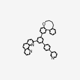 c1cncc(-c2ccc(-c3cc(-c4ccc5c(c4)-c4ccccc4CCCCO5)cc(-c4ccc5ccc6cccnc6c5n4)c3)cc2)c1